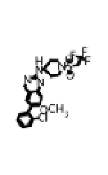 COc1cc2nc(NC3CCN(S(=O)(=O)CC(F)(F)F)CC3)ncc2cc1-c1ccccc1Cl